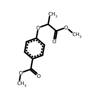 COC(=O)c1ccc(OC(C)C(=O)OC)cc1